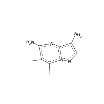 Cc1c(N)nc2c(N)cnn2c1C